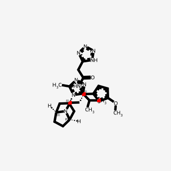 COc1ccc([C@H](CCN2[C@@H]3CC[C@H]2C[C@H](n2c(C)nnc2C(C)C)C3)NC(=O)Cc2nnn[nH]2)s1